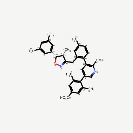 COc1ncc(-c2c(C)cc(C(=O)O)cc2C)cc1-c1ccc(C(F)(F)F)cc1CC1=NO[C@H](c2cc(C(F)(F)F)cc(C(F)(F)F)c2)[C@@H]1C